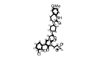 COc1ccc2c(c1)CCN(C1CCN(C(=O)Cn3cc(-c4cccc(Cl)c4Cl)c(=O)n(CCS(C)(=O)=O)c3=O)CC1)C(=O)N2